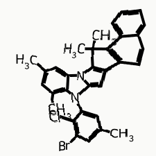 Cc1cc(Br)c(Cl)c(-n2c3c(C)cc(C)cc3n3c4c(cc23)-c2ccc3ccccc3c2C4(C)C)c1